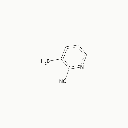 Bc1cccnc1C#N